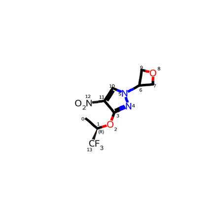 C[C@@H](Oc1nn(C2COC2)cc1[N+](=O)[O-])C(F)(F)F